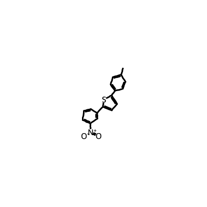 Cc1ccc(-c2ccc(-c3cccc([N+](=O)[O-])c3)s2)cc1